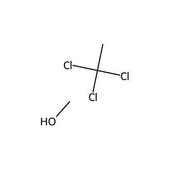 CC(Cl)(Cl)Cl.CO